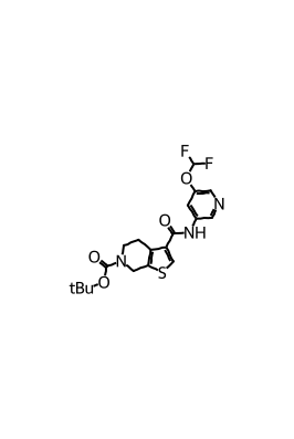 CC(C)(C)OC(=O)N1CCc2c(C(=O)Nc3cncc(OC(F)F)c3)csc2C1